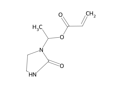 C=CC(=O)OC(C)N1CCNC1=O